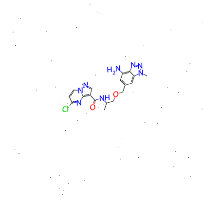 CC(COCc1cc(N)c2nnn(C)c2c1)NC(=O)c1cnn2ccc(Cl)nc12